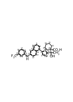 CC(O)(c1ncc(-c2ccnc3cc(Nc4nccc(C(F)(F)F)n4)ccc23)s1)C1(C(=O)O)CCCCC1